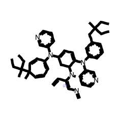 C=C/C(=C/N=C)N(C)C1CC(N(C2=CC=CC(C)(C(C)(CC)CC)C=C2)c2cccnc2)=CC=C1N(c1cccnc1)c1cccc(CC(C)(CC)CC)c1